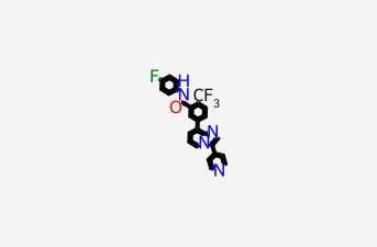 O=C(Nc1ccc(F)cc1)c1cc(-c2cccn3c(-c4ccncc4)cnc23)ccc1C(F)(F)F